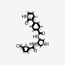 O=C(N[C@H]1CNC[C@H]1NC(=O)c1ccc(Cl)s1)c1ccc(-c2ccc[nH]c2=O)cc1